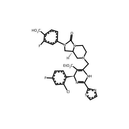 CCOC(=O)C1=C(CN2CCN3C(=O)N(c4ccc(C(=O)O)c(F)c4)C[C@@H]3C2)NC(c2nccs2)=N[C@H]1c1ccc(F)cc1Cl